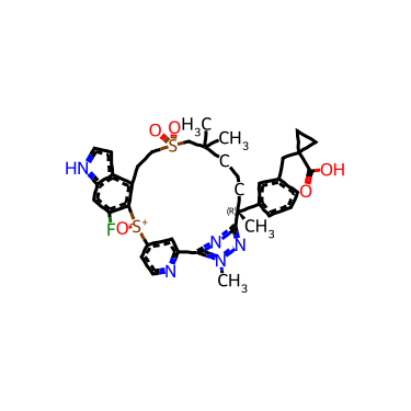 Cn1nc2nc1-c1cc(ccn1)[S+]([O-])c1c(F)cc3[nH]ccc3c1CCS(=O)(=O)CC(C)(C)CCC[C@]2(C)c1cccc(CC2(C(=O)O)CC2)c1